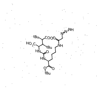 CC(C)(C)OC(=O)C(CCCCNC(=O)CN=[N+]=N)NC(=O)NC(C(=O)O)C(C(C(=O)[O-])C(C)(C)C)C(C)(C)C